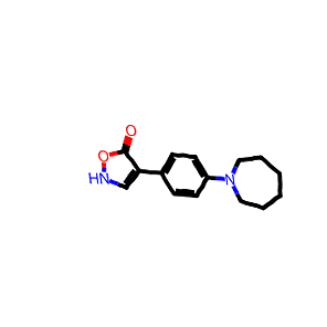 O=c1o[nH]cc1-c1ccc(N2CCCCCC2)cc1